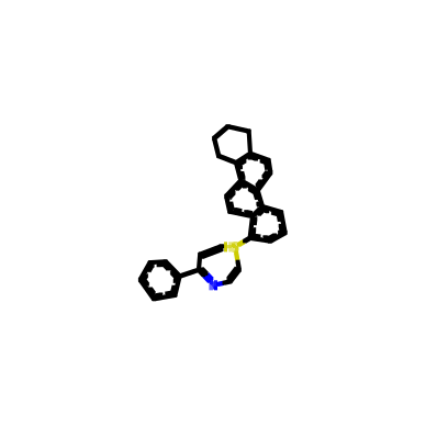 C1=C[SH](c2cccc3c2ccc2c4c(ccc23)CCCC4)C=CC(c2ccccc2)=N1